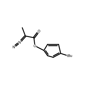 CC(=[N+]=[N-])C(=O)Oc1ccc(C(C)(C)C)cc1